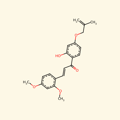 C=C(C)COc1ccc(C(=O)C=Cc2ccc(OC)cc2OC)c(O)c1